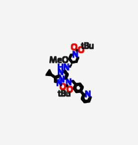 CO[C@H]1CN(C(=O)OC(C)(C)C)CC[C@@H]1CNc1cc(N(Cc2ccc(-c3ccccn3)cc2)C(=O)OC(C)(C)C)n2ncc(C3CC3)c2n1